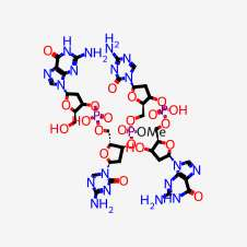 COP(=O)(OC[C@H]1O[C@@H](n2cnc(N)nc2=O)CC1OP(=O)(O)OC[C@H]1O[C@@H](n2cnc3c(=O)[nH]c(N)nc32)CC1O)O[C@@H]1C[C@H](n2cnc(N)nc2=O)O[C@@H]1COP(=O)(O)OC1C[C@H](n2cnc3c(=O)[nH]c(N)nc32)O[C@@H]1CO